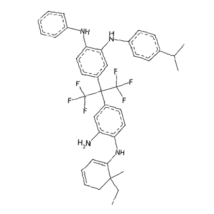 CCC1(C)CC=CC=C1Nc1ccc(C(c2ccc(Nc3ccccc3)c(Nc3ccc(C(C)C)cc3)c2)(C(F)(F)F)C(F)(F)F)cc1N